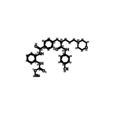 CC(C)(C)OC(=O)Nc1ccccc1NC(=O)c1ccc(CN(CCCN2CCOCC2)C(=O)Nc2ccc(C#N)cc2)cc1